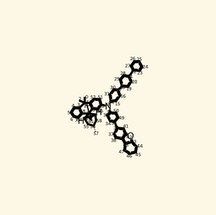 CC1(C)c2ccccc2C2(c3cc(N(c4ccc(-c5ccc(-c6ccccc6)cc5)cc4)c4ccc(-c5ccc6c(c5)oc5ccccc56)cc4)ccc31)[C@H]1C[C@@H](C)C[C@@H]2C[C@@H](C)C1